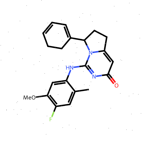 COc1cc(Nc2nc(=O)cc3n2C(C2=CC=CCC2)CC3)c(C)cc1F